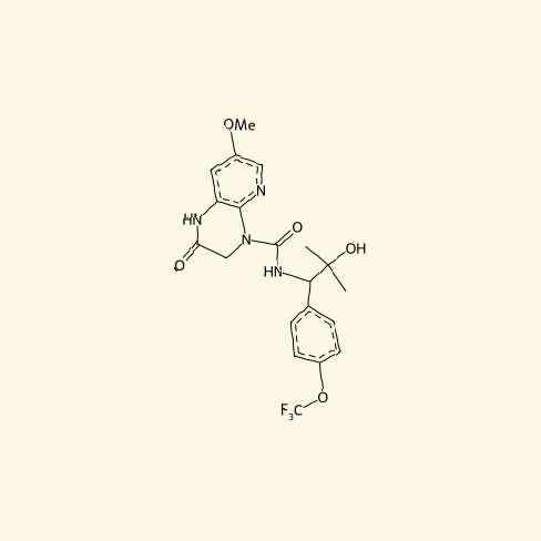 COc1cnc2c(c1)NC(=O)CN2C(=O)NC(c1ccc(OC(F)(F)F)cc1)C(C)(C)O